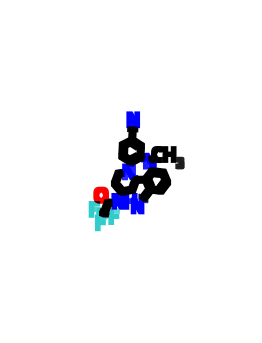 CN1c2cc(C#N)ccc2N2CCC(NC(=O)C(F)(F)F)CC2c2c(C#N)cccc21